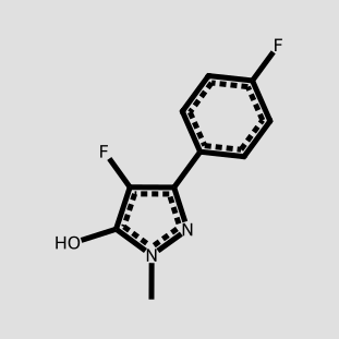 Cn1nc(-c2ccc(F)cc2)c(F)c1O